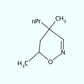 CCCC1(C)C=NOC(C)C1